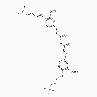 COc1cc(/C=C/C(=O)CC(=O)/C=C/c2ccc(OCCC[N+](C)(C)C)c(OC)c2)ccc1OCCCN(C)C